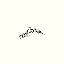 CCN1CCN(C[C@H](O)[C@H]2Cc3ccccc3CN2)C(=O)c2ccc(C(=O)N3CCC4(CC3)CC(C#N)C4)cc21